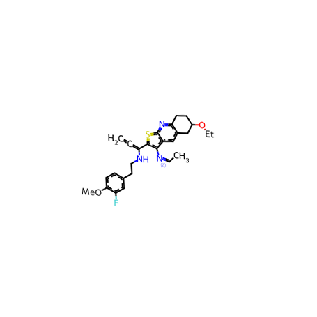 C=C=C(NCCc1ccc(OC)c(F)c1)c1sc2nc3c(cc2c1/N=C\C)CC(OCC)CC3